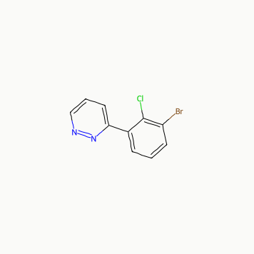 Clc1c(Br)cccc1-c1cccnn1